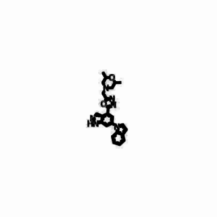 CC1CN(Cc2nnc(-c3cc(-n4ccc5ccccc54)cc4[nH]ncc34)o2)CC(C)O1